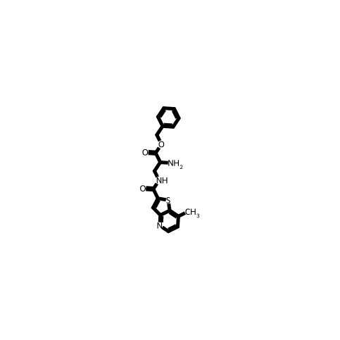 Cc1ccnc2cc(C(=O)NCC(N)C(=O)OCc3ccccc3)sc12